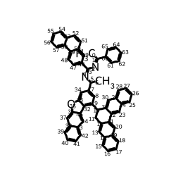 C/C(=N\C(=N/C(C)c1cc(C2Cc3cc4ccccc4cc3-c3cc4ccccc4cc32)c2c(c1)oc1cc3ccccc3cc12)c1ccc2c(ccc3ccccc32)c1)c1ccccc1